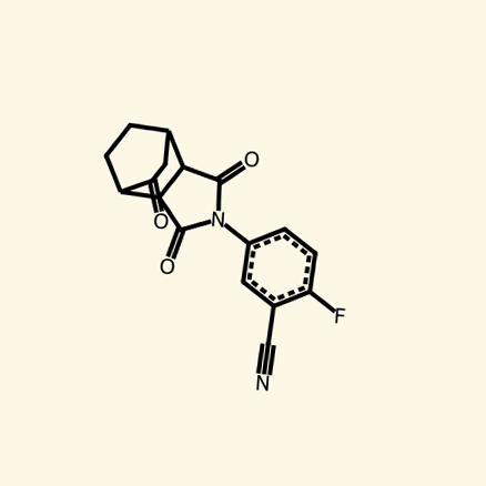 N#Cc1cc(N2C(=O)C3C4CCC(C(=O)C4)C3C2=O)ccc1F